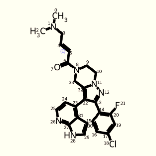 CN(C)C/C=C/C(=O)N1CCn2nc(-c3ccc(Cl)cc3F)c(-c3ccnc4[nH]ccc34)c2C1